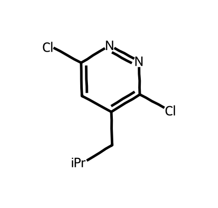 CC(C)Cc1cc(Cl)nnc1Cl